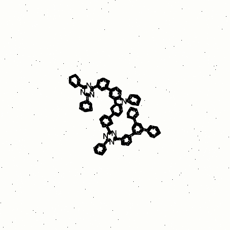 C1=CCCC(c2cc(-c3ccccc3)cc(-c3cccc(-c4nc(-c5ccccc5)nc(-c5cccc(C6=CC=C7C(C6)c6cc(-c8cccc(-c9nc(C%10=CCCC=C%10)nc(-c%10ccccc%10)n9)c8)ccc6N7c6ccccc6)c5)n4)c3)c2)=C1